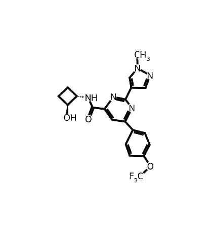 Cn1cc(-c2nc(C(=O)N[C@H]3CC[C@@H]3O)cc(-c3ccc(OC(F)(F)F)cc3)n2)cn1